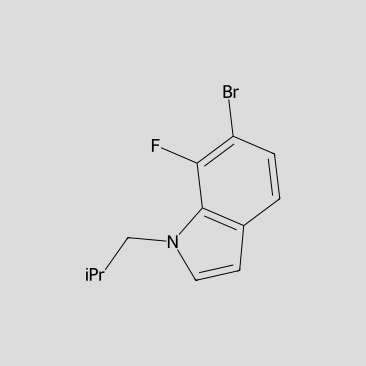 CC(C)Cn1ccc2ccc(Br)c(F)c21